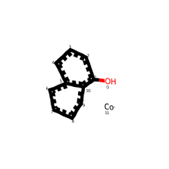 Oc1cccc2ccccc12.[Co]